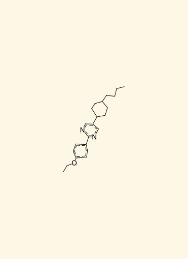 CCCCC1CCC(c2cnc(-c3ccc(OCC)cc3)nc2)CC1